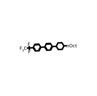 CCCCCCCCC1CCC(c2ccc(-c3ccc(C(F)(F)C(F)(F)F)cc3)cc2)CC1